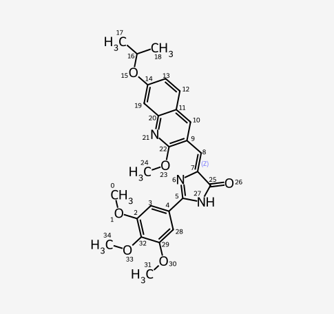 COc1cc(C2=N/C(=C\c3cc4ccc(OC(C)C)cc4nc3OC)C(=O)N2)cc(OC)c1OC